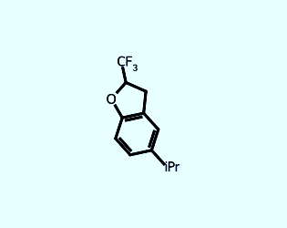 CC(C)c1ccc2c(c1)CC(C(F)(F)F)O2